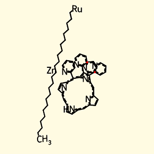 C1=Cc2cc3c(-c4ccccn4)c(-c4ccccn4)c(c(-c4ccccn4)c4nc(cc5ccc(cc1n2)[nH]5)C=C4)n3-c1ccccn1.CCCCCCCCCCCCCCCCCCCCCCC[CH2][Ru].[Zn]